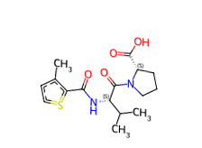 Cc1ccsc1C(=O)N[C@H](C(=O)N1CCC[C@H]1C(=O)O)C(C)C